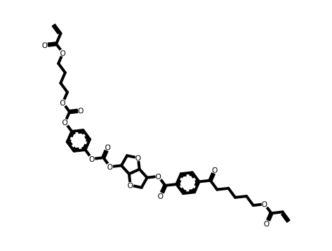 C=CC(=O)OCCCCCC(=O)c1ccc(C(=O)OC2COC3C(OC(=O)Oc4ccc(OC(=O)OCCCCOC(=O)C=C)cc4)COC23)cc1